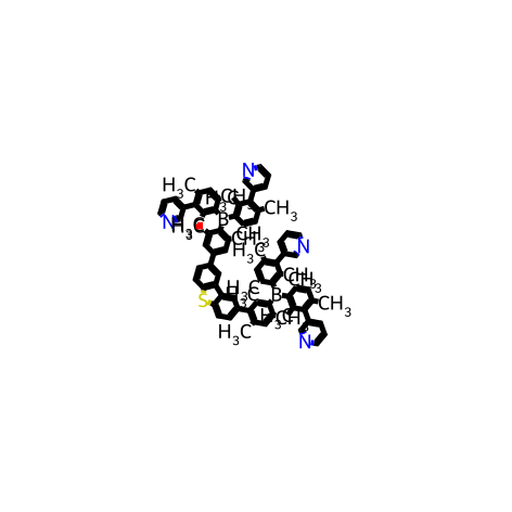 Cc1cc(-c2ccc3sc4ccc(-c5c(C)cc(C)c(B(c6c(C)cc(C)c(-c7cccnc7)c6C)c6c(C)cc(C)c(-c7cccnc7)c6C)c5C)cc4c3c2)cc(C)c1B(c1c(C)cc(C)c(-c2cccnc2)c1C)c1c(C)cc(C)c(-c2cccnc2)c1C